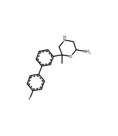 CC1(c2cccc(-c3ccc(F)cc3)c2)CNCC(N)O1